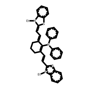 CCN1/C(=C/C=C2\CCCC(/C=C/c3sc4ccccc4[n+]3CC)=C2N(c2ccccc2)c2ccccc2)Sc2ccccc21